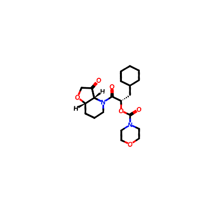 O=C1CO[C@H]2CCCN(C(=O)[C@H](CC3CCCCC3)OC(=O)N3CCOCC3)[C@@H]12